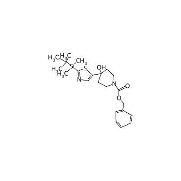 CC(C)(C)[Si](C)(C)c1ncc(C2(O)CCN(C(=O)OCc3ccccc3)CC2)s1